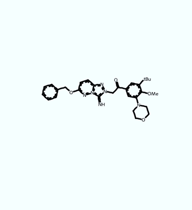 COc1c(N2CCOCC2)cc(C(=O)Cn2nc3ccc(OCc4ccccc4)nn3c2=N)cc1C(C)(C)C